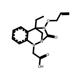 C=CCON1C(=O)N2CC1(CC)c1ccccc1N2CC(=O)O